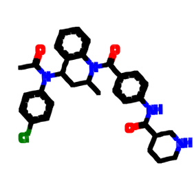 CC(=O)N(c1ccc(Cl)cc1)C1CC(C)N(C(=O)c2ccc(NC(=O)C3CCCNC3)cc2)c2ccccc21